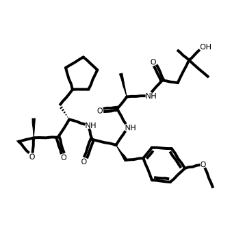 COc1ccc(C[C@H](NC(=O)[C@@H](C)NC(=O)CC(C)(C)O)C(=O)N[C@@H](CC2CCCC2)C(=O)[C@@]2(C)CO2)cc1